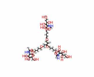 CC(=O)N/C(=C(/O)[C@@H](O)CCO)[C@@H](O)OCCCCCOCC(C)C(CCOCCCCCO[C@@H]1OC(CO)[C@H](O)C(O)C1NC(C)=O)OCCCCCO[C@H](O)/C(NC(C)=O)=C(\O)[C@@H](O)CCO